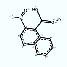 O=C(O)c1c([N+](=O)[O-])ccc2ccccc12.[Zn]